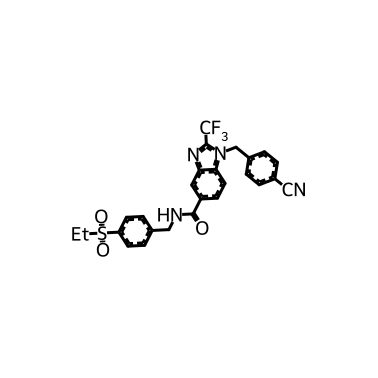 CCS(=O)(=O)c1ccc(CNC(=O)c2ccc3c(c2)nc(C(F)(F)F)n3Cc2ccc(C#N)cc2)cc1